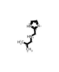 CC(C)CNCc1ncc[nH]1